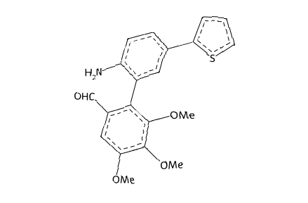 COc1cc(C=O)c(-c2cc(-c3cccs3)ccc2N)c(OC)c1OC